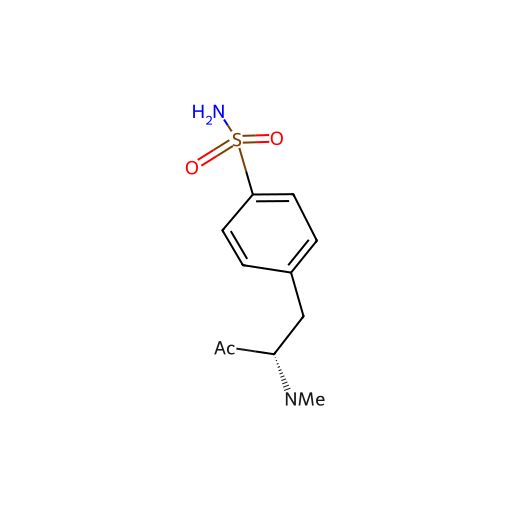 CN[C@@H](Cc1ccc(S(N)(=O)=O)cc1)C(C)=O